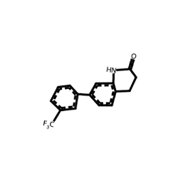 O=C1CCc2ccc(-c3cccc(C(F)(F)F)c3)cc2N1